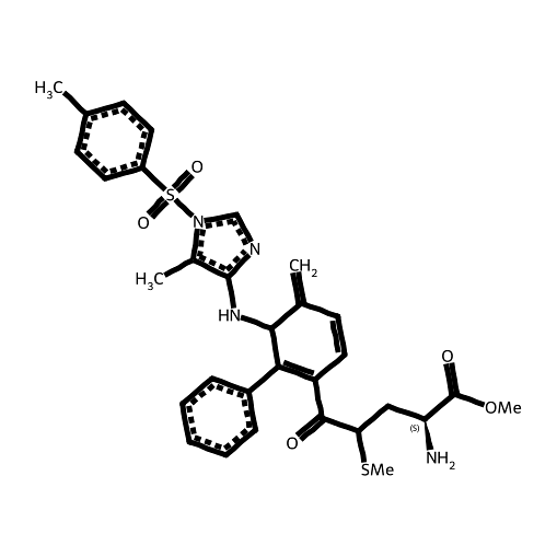 C=C1C=CC(C(=O)C(C[C@H](N)C(=O)OC)SC)=C(c2ccccc2)C1Nc1ncn(S(=O)(=O)c2ccc(C)cc2)c1C